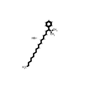 Br.CCCCCCCCCCCCCCCCCC(c1ccccc1)N(C)C